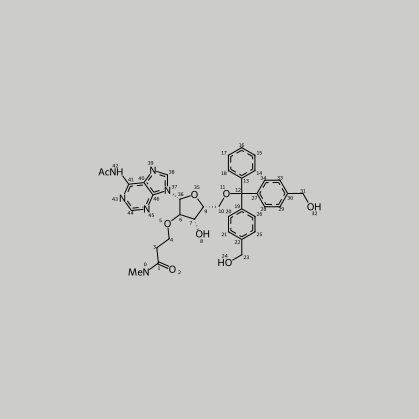 CNC(=O)CCOC1[C@@H](O)[C@@H](COC(c2ccccc2)(c2ccc(CO)cc2)c2ccc(CO)cc2)O[C@H]1n1cnc2c(NC(C)=O)ncnc21